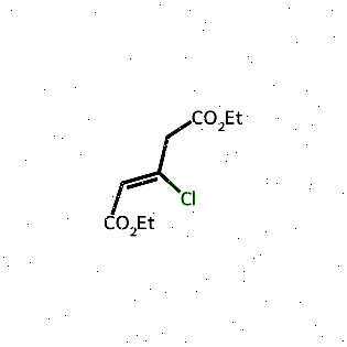 CCOC(=O)/C=C(\Cl)CC(=O)OCC